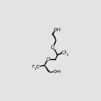 OCCOC(COC(CO)C(F)(F)F)C(F)(F)F